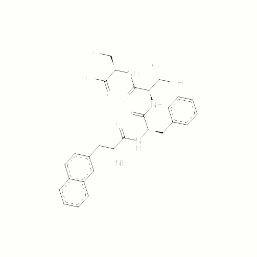 C[C@H](O)[C@@H](NC(=O)[C@@H](Cc1ccccc1)NC(=O)[C@H](N)Cc1ccc2ccccc2c1)C(=O)N[C@H](CO)C(=O)O